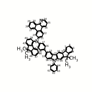 CC1(C)c2ccccc2-c2cc3c4cc(-c5ccc(N(c6ccc7c(c6)c6ccccc6c6ncccc76)c6cccc7c6-c6ccccc6C7(C)C)cc5)ccc4n(-c4ccccc4)c3cc21